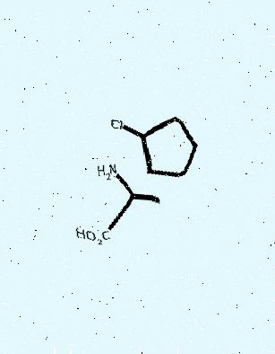 CC(N)C(=O)O.ClC1CCCC1